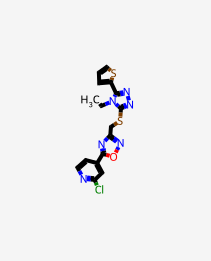 CCn1c(SCc2noc(-c3ccnc(Cl)c3)n2)nnc1-c1cccs1